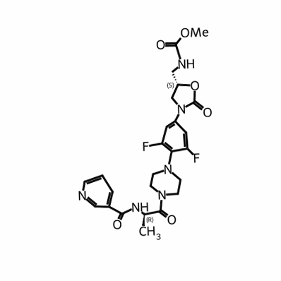 COC(=O)NC[C@H]1CN(c2cc(F)c(N3CCN(C(=O)[C@@H](C)NC(=O)c4cccnc4)CC3)c(F)c2)C(=O)O1